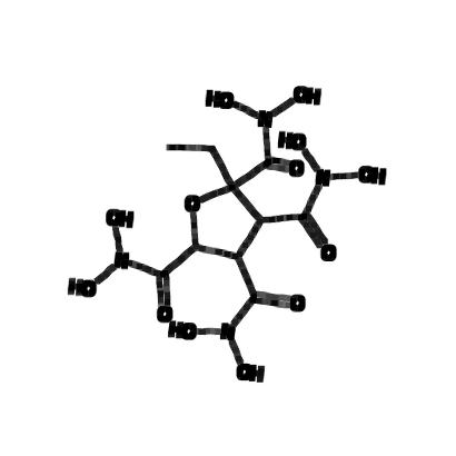 CCC1(C(=O)N(O)O)OC(C(=O)N(O)O)C(C(=O)N(O)O)C1C(=O)N(O)O